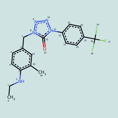 CCNc1ccc(Cn2nnn(-c3ccc(C(F)(F)F)cc3)c2=O)cc1C